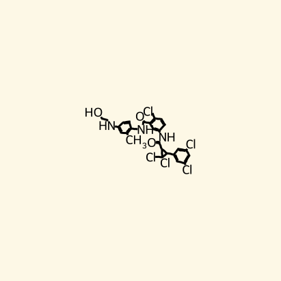 Cc1cc(NCCO)ccc1NC(=O)c1cc(NC(=O)C2C(c3cc(Cl)cc(Cl)c3)C2(Cl)Cl)ccc1Cl